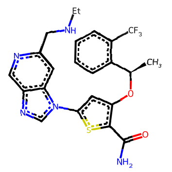 CCNCc1cc2c(cn1)ncn2-c1cc(O[C@H](C)c2ccccc2C(F)(F)F)c(C(N)=O)s1